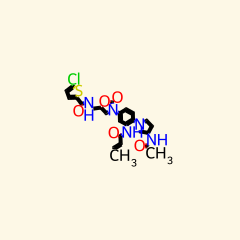 C/C=C/C(=O)Nc1cc(N2CC(CNC(=O)c3ccc(Cl)s3)OC2=O)ccc1N1CCC(NC(C)=O)C1